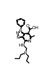 CCCN(CCC)CNc1nc(C)c(C(=O)O)c2c1nnn2-c1ccccc1